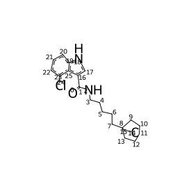 O=C(NCCCCCC12CCC(CC1)CC2)c1c[nH]c2cccc(Cl)c12